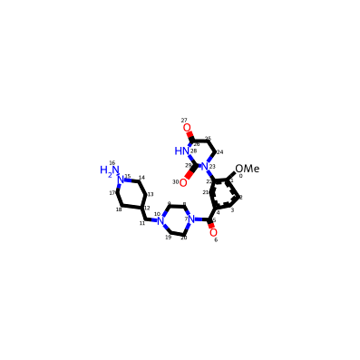 COc1ccc(C(=O)N2CCN(CC3CCN(N)CC3)CC2)cc1N1CCC(=O)NC1=O